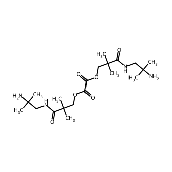 CC(C)(N)CNC(=O)C(C)(C)COC(=O)C(=O)OCC(C)(C)C(=O)NCC(C)(C)N